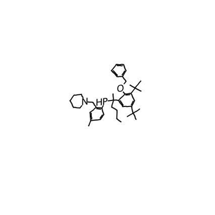 CCCCC(C)(Pc1ccc(C)cc1CN1CCCCC1)c1cc(C(C)(C)C)cc(C(C)(C)C)c1OCc1ccccc1